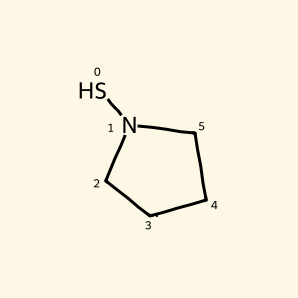 SN1C[CH]CC1